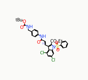 CCOC(=O)c1c(/C=C/C(=O)Nc2ccc(CNC(=O)OC(C)(C)C)cc2)c2c(Cl)cc(Cl)cc2n1S(=O)(=O)c1ccccc1